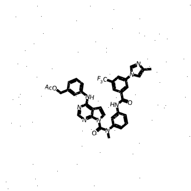 CC(=O)OCc1cccc(Nc2ncnc3c2ccn3C(=O)N(C)c2cccc(NC(=O)c3cc(-n4cnc(C)c4)cc(C(F)(F)F)c3)c2)c1